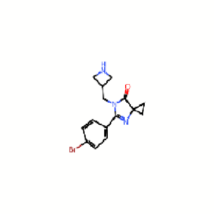 O=C1N(CC2CNC2)C(c2ccc(Br)cc2)=NC12CC2